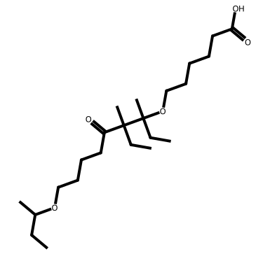 CCC(C)OCCCCC(=O)C(C)(CC)C(C)(CC)OCCCCCC(=O)O